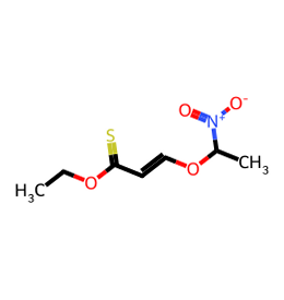 CCOC(=S)C=COC(C)[N+](=O)[O-]